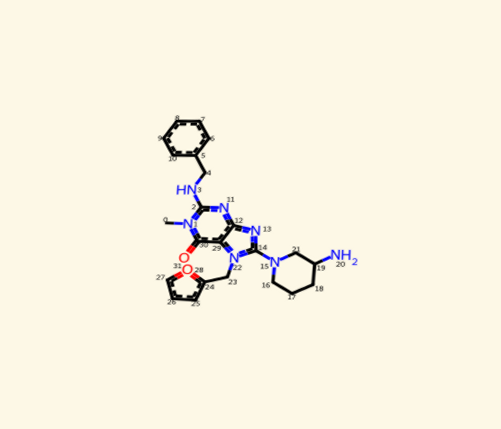 Cn1c(NCc2ccccc2)nc2nc(N3CCCC(N)C3)n(Cc3ccco3)c2c1=O